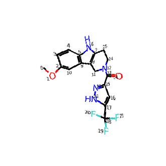 COc1ccc2[nH]c3c(c2c1)CN(C(=O)c1cc(C(F)(F)F)[nH]n1)CC3